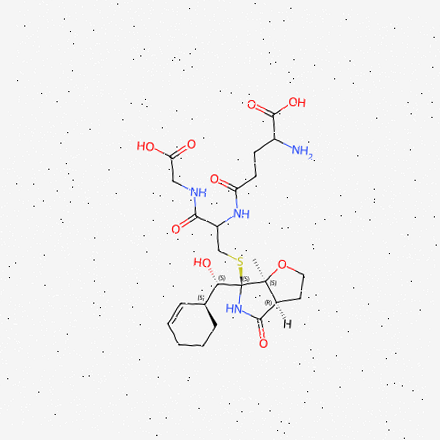 C[C@]12OCC[C@H]1C(=O)N[C@]2(SCC(NC(=O)CCC(N)C(=O)O)C(=O)NCC(=O)O)[C@@H](O)[C@@H]1C=CCCC1